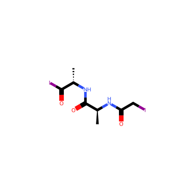 C[C@H](NC(=O)[C@H](C)NC(=O)CI)C(=O)I